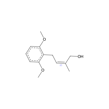 COc1cccc(OC)c1C/C=C(/C)CO